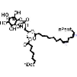 CCCCC/C=C\C/C=C\CCCCCCCC(=O)O[C@H](COC(=O)CCCCCCCCCCCCCCC)COP(=O)(O)OC1[C@H](O)[C@H](O)C(O)[C@H](O)[C@H]1O